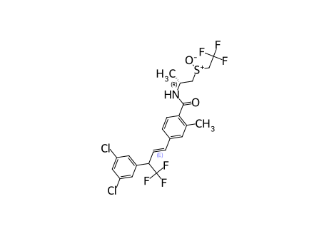 Cc1cc(/C=C/C(c2cc(Cl)cc(Cl)c2)C(F)(F)F)ccc1C(=O)N[C@H](C)C[S+]([O-])CC(F)(F)F